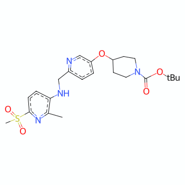 Cc1nc(S(C)(=O)=O)ccc1NCc1ccc(OC2CCN(C(=O)OC(C)(C)C)CC2)cn1